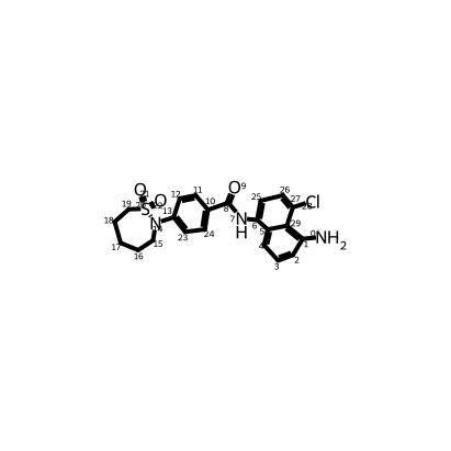 Nc1cccc2c(NC(=O)c3ccc(N4CCCCCS4(=O)=O)cc3)ccc(Cl)c12